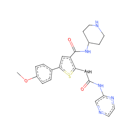 COc1ccc(-c2cc(C(=O)NC3CCNCC3)c([AsH]C(=O)Nc3cnccn3)s2)cc1